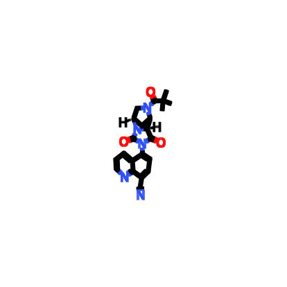 CC(C)(C)C(=O)N1C[C@H]2CC1[C@H]1C(=O)N(c3ccc(C#N)c4ncccc34)C(=O)N21